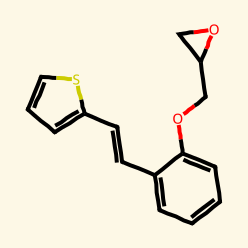 C(=Cc1ccccc1OCC1CO1)c1cccs1